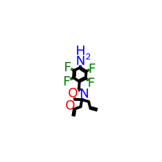 C=CCC1(CC=C)N=C(c2c(F)c(F)c(N)c(F)c2F)OC1=O